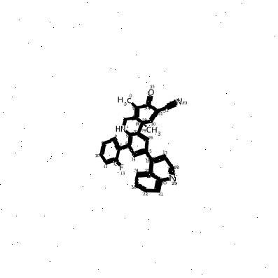 CC1=C2CNc3c(-c4ccccc4F)cc(-c4ccnc5ccccc45)cc3[C@]2(C)C=C(C#N)C1=O